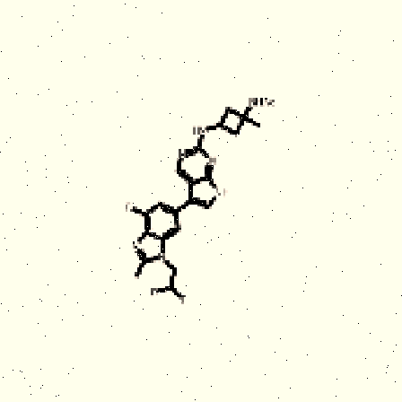 CC(=O)NC1(C)CC(Nc2ncc3c(-c4cc(F)c5nc(C)n(CC(F)F)c5c4)c[nH]c3n2)C1